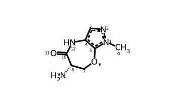 Cn1ncc2c1OC[C@H](N)C(=O)N2